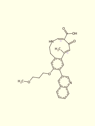 COCCCOc1cc2c(cc1-c1cnc3ccccc3c1)/C(C)=C/C(=O)/C(C(=O)O)=C\NCC2